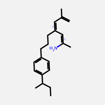 C=C(C)/C=C(\C=C(\C)N)CCCc1ccc(C(C)CC)cc1